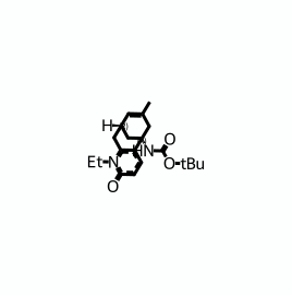 CCn1c2c(ccc1=O)[C@]1(NC(=O)OC(C)(C)C)CC(C)=C[C@@H](C2)C1